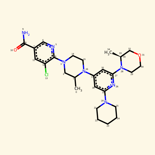 CC1CN(c2ncc(C(N)=O)cc2Cl)CCN1c1cc(N2CCCCC2)nc(N2CCOC[C@@H]2C)c1